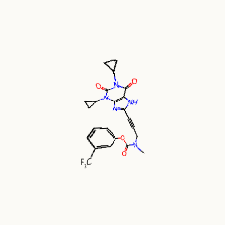 CN(CC#Cc1nc2c([nH]1)c(=O)n(C1CC1)c(=O)n2C1CC1)C(=O)Oc1cccc(C(F)(F)F)c1